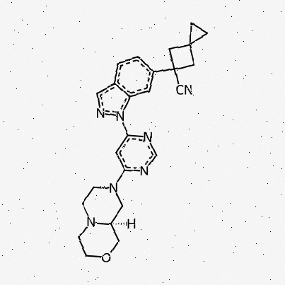 N#CC1(c2ccc3cnn(-c4cc(N5CCN6CCOC[C@@H]6C5)ncn4)c3c2)CC2(CC2)C1